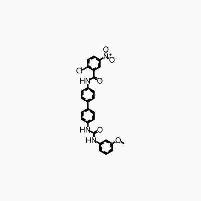 COc1cccc(NC(=O)Nc2ccc(-c3ccc(NC(=O)c4cc([N+](=O)[O-])ccc4Cl)cc3)cc2)c1